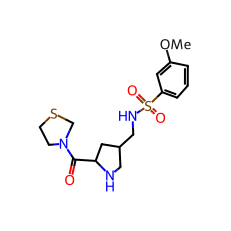 COc1cccc(S(=O)(=O)NCC2CNC(C(=O)N3CCSC3)C2)c1